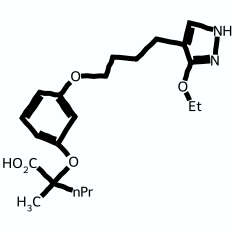 CCCC(C)(Oc1cccc(OCCCCc2c[nH]nc2OCC)c1)C(=O)O